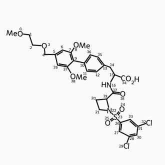 COCCOCc1cc(OC)c(-c2ccc(CC(NC(=O)C3CCN3S(=O)(=O)c3cc(Cl)cc(Cl)c3)C(=O)O)cc2)c(OC)c1